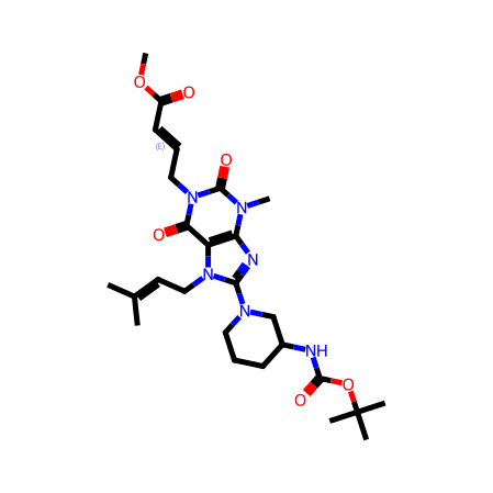 COC(=O)/C=C/Cn1c(=O)c2c(nc(N3CCCC(NC(=O)OC(C)(C)C)C3)n2CC=C(C)C)n(C)c1=O